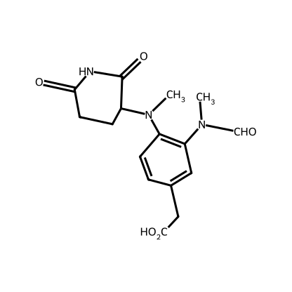 CN(C=O)c1cc(CC(=O)O)ccc1N(C)C1CCC(=O)NC1=O